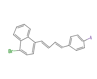 Brc1ccc(/C=C/C=C/c2ccc(I)cc2)c2ccccc12